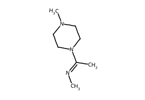 C/N=C(\C)N1CCN(C)CC1